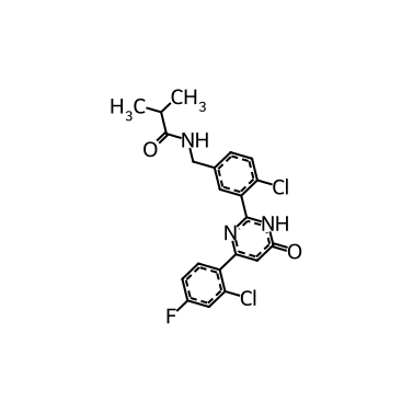 CC(C)C(=O)NCc1ccc(Cl)c(-c2nc(-c3ccc(F)cc3Cl)cc(=O)[nH]2)c1